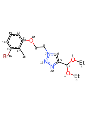 CCOC(OCC)c1cn(CCOc2cccc(Br)c2C)nn1